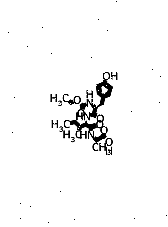 CCOC(=O)N[C@@H](Cc1ccc(O)cc1)C(=O)N[C@H](C(=O)N[C@@H](C)C(=O)O)C(C)CC